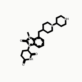 Cn1c(=O)n(C2CCC(=O)NC2=O)c2cccc(CC3CCN(C4CCNCC4)CC3)c21